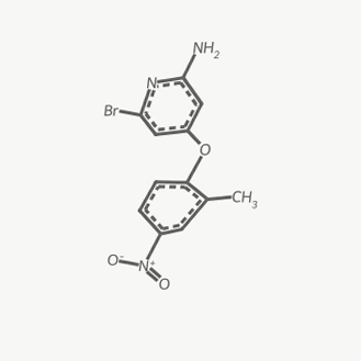 Cc1cc([N+](=O)[O-])ccc1Oc1cc(N)nc(Br)c1